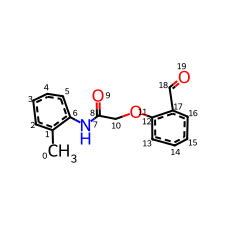 Cc1ccccc1NC(=O)COc1ccccc1C=O